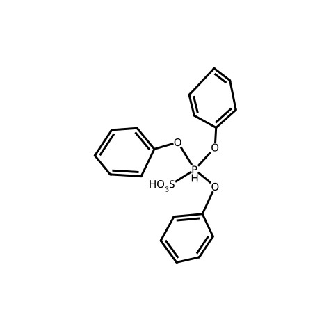 O=S(=O)(O)[PH](Oc1ccccc1)(Oc1ccccc1)Oc1ccccc1